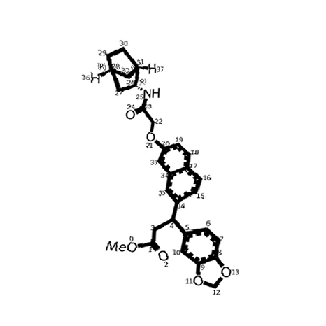 COC(=O)CC(c1ccc2c(c1)OCO2)c1ccc2ccc(OCC(=O)N[C@@H]3C[C@@H]4CC[C@H]3C4)cc2c1